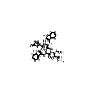 NNC(=O)[C@H](CO)NC(=O)[C@H](Cc1c[nH]c2ccccc12)NC(=O)[C@@H](Cc1c[nH]c2ccccc12)NC(=O)[C@@H]1CCC(=O)N1